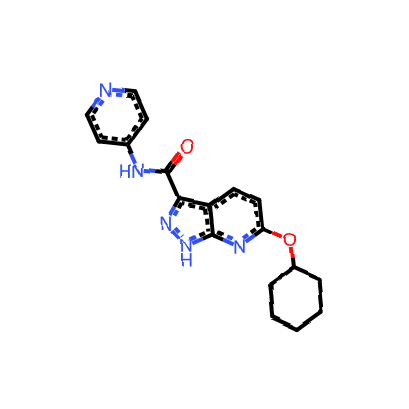 O=C(Nc1ccncc1)c1n[nH]c2nc(OC3CCCCC3)ccc12